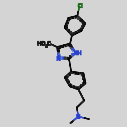 CN(C)CCc1ccc(-c2nc(C(=O)O)c(-c3ccc(Cl)cc3)[nH]2)cc1